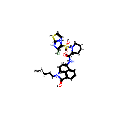 COCCCN1C(=O)c2cccc3c(NC(=O)C4CCCCN4S(=O)(=O)c4c(Cl)nc5sccn45)ccc1c23